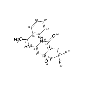 C[C@H](Nc1cc(=O)n(CC(F)(F)F)c(=O)[nH]1)c1ccccc1